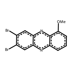 COc1cccc2nc3cc(Br)c(Br)cc3nc12